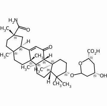 CC1(C)[C@@H](OC2C[C@@H](O)C[C@@H](C(=O)O)O2)CC[C@]2(C)[C@H]3C(=O)C=C4[C@@H]5C[C@@](C)(C(N)=O)CC[C@]5(C)CC[C@@]4(C)[C@]3(C)CC[C@@H]12